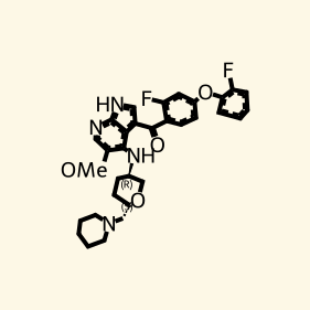 COc1cnc2[nH]cc(C(=O)c3ccc(Oc4ccccc4F)cc3F)c2c1N[C@@H]1CC[C@@H](CN2CCCCC2)OC1